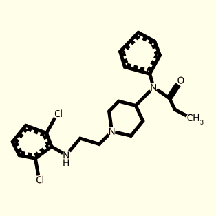 CCC(=O)N(c1ccccc1)C1CCN(CCNc2c(Cl)cccc2Cl)CC1